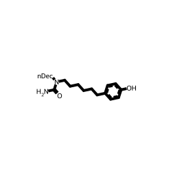 CCCCCCCCCCN(CCCCCCc1ccc(O)cc1)C(N)=O